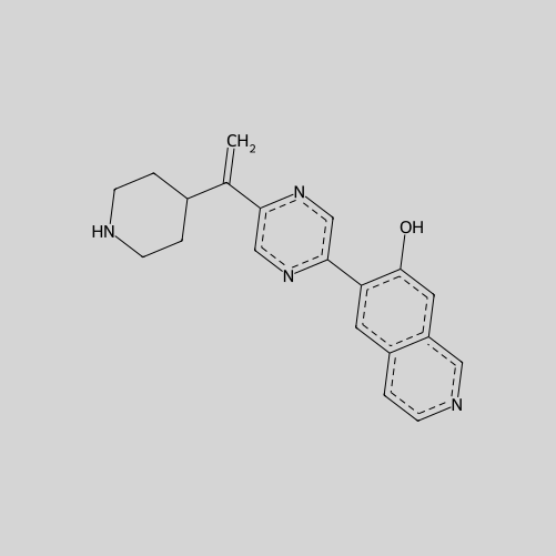 C=C(c1cnc(-c2cc3ccncc3cc2O)cn1)C1CCNCC1